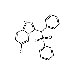 O=S(=O)(c1ccccc1)C(c1ccccc1)c1cnc2ccc(Cl)cn12